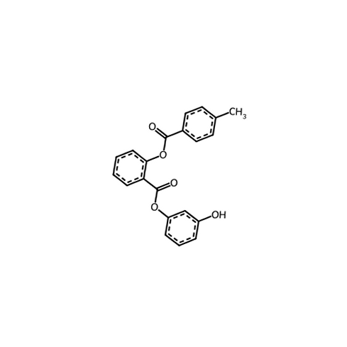 Cc1ccc(C(=O)Oc2ccccc2C(=O)Oc2cccc(O)c2)cc1